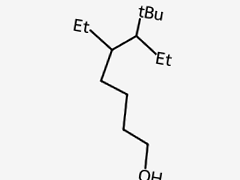 CCC(CCCCO)C(CC)C(C)(C)C